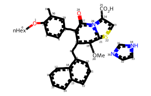 CCCCCCOc1ccc(-c2c(Cc3cccc4ccccc34)c(OC)c3scc(C(=O)O)n3c2=O)cc1C.c1c[nH]cn1